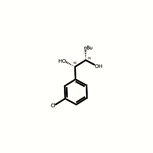 CCCC[C@H](O)[C@@H](O)c1cccc(Cl)c1